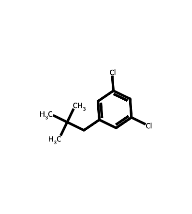 CC(C)(C)Cc1cc(Cl)cc(Cl)c1